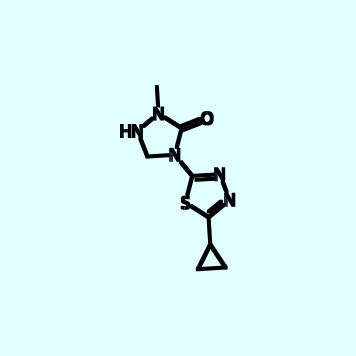 CN1NCN(c2nnc(C3CC3)s2)C1=O